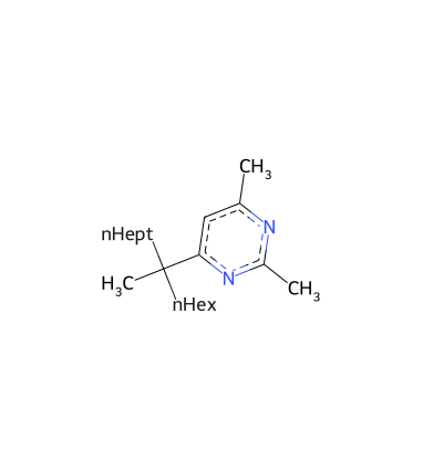 CCCCCCCC(C)(CCCCCC)c1cc(C)nc(C)n1